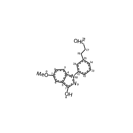 COc1ccc2c(c1)c(O)nn2-c1cccc(CCC=O)c1